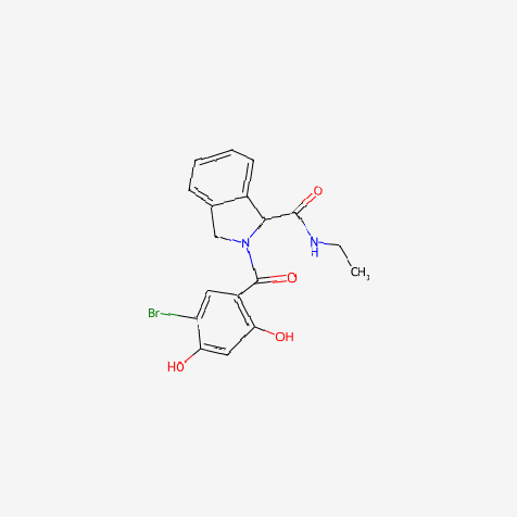 CCNC(=O)C1c2ccccc2CN1C(=O)c1cc(Br)c(O)cc1O